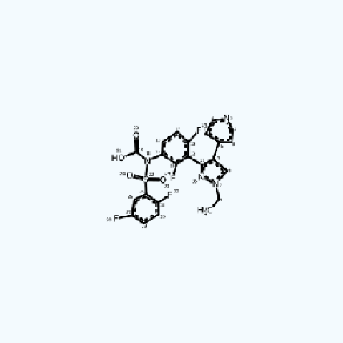 CCn1cc(-c2ccncc2)c(-c2c(F)ccc(N(C(=O)O)S(=O)(=O)c3cc(F)ccc3F)c2F)n1